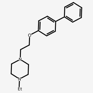 CCN1CCN(CCOc2ccc(-c3ccccc3)cc2)CC1